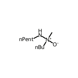 CCCCCN[N+](C)([O-])CCCC